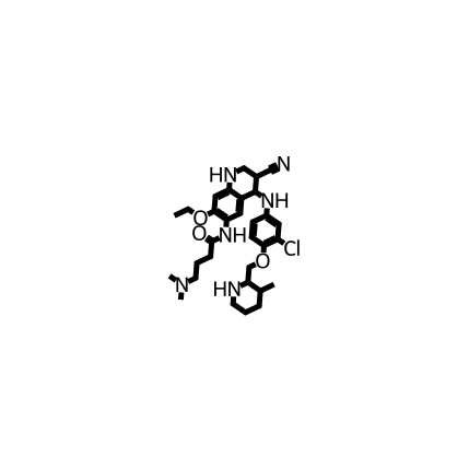 CCOc1cc2c(cc1NC(=O)CCCN(C)C)C(Nc1ccc(OCC3NCCCC3C)c(Cl)c1)C(C#N)CN2